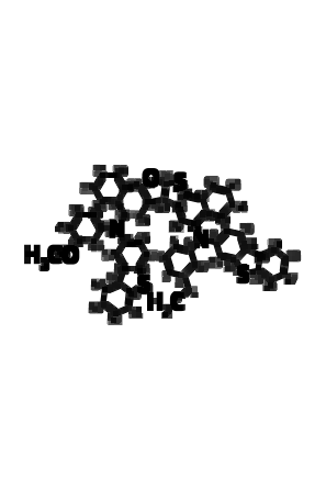 C=Cc1cccc(N(c2ccc3c(c2)sc2ccccc23)c2cc3c(sc4oc5c6ccccc6c(N(c6cccc(OC)c6)c6ccc7sc8ccccc8c7c6)cc5c43)c3ccccc23)c1